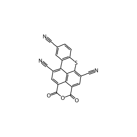 N#Cc1ccc2sc3c(C#N)cc4c(=O)oc(=O)c5cc(C#N)c(c2c1)c3c45